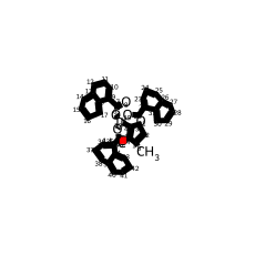 CC1=CC[C]([Ti]([O]C(=O)c2cccc3ccccc23)([O]C(=O)c2cccc3ccccc23)[O]C(=O)c2cccc3ccccc23)=C1C